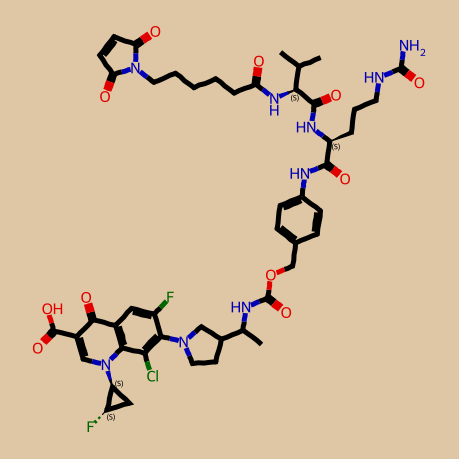 CC(NC(=O)OCc1ccc(NC(=O)[C@H](CCCNC(N)=O)NC(=O)[C@@H](NC(=O)CCCCCN2C(=O)C=CC2=O)C(C)C)cc1)C1CCN(c2c(F)cc3c(=O)c(C(=O)O)cn([C@H]4C[C@@H]4F)c3c2Cl)C1